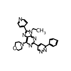 CCn1c(-c2ccncc2)nc2c(N3CCOCC3)nc(-c3cnnc(-c4ccccc4)c3)nc21